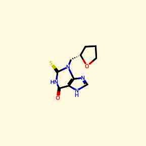 O=c1[nH]c(=S)n(C[C@@H]2CCCO2)c2nc[nH]c12